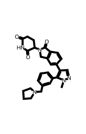 Cn1ncc(-c2ccc3c(c2)CN(C2CCC(=O)NC2=O)C3=O)c1-c1cccc(CN2CCCC2)c1